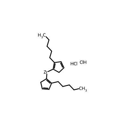 CCCCCC1=[C]([Zr][C]2=C(CCCCC)C=CC2)CC=C1.Cl.Cl